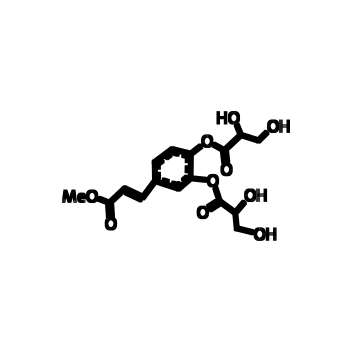 COC(=O)C=Cc1ccc(OC(=O)C(O)CO)c(OC(=O)C(O)CO)c1